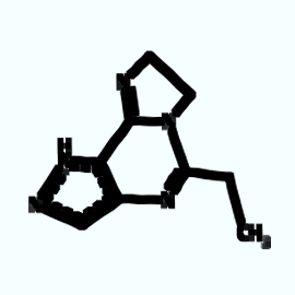 CCC1=Nc2cn[nH]c2C2=NCCN12